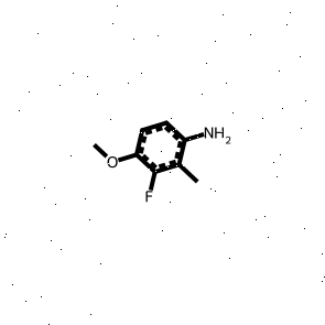 COc1ccc(N)c(C)c1F